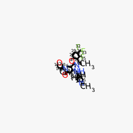 C[C@@H](NC(=O)c1cn([C@]2(C)CCOC2)c(=O)cc1N[C@@H]1[C@@H]2CN(C)C[C@@H]21)c1cccc(C(F)F)c1F